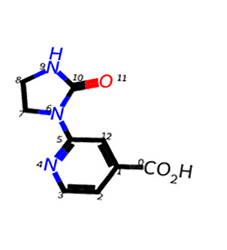 O=C(O)c1ccnc(N2CCNC2=O)c1